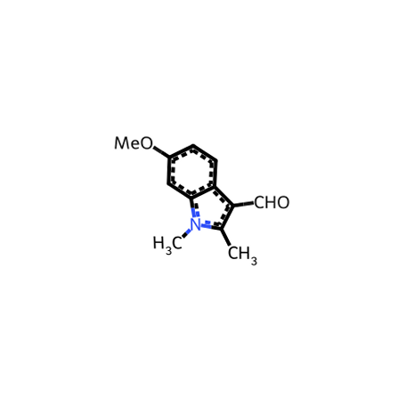 COc1ccc2c(C=O)c(C)n(C)c2c1